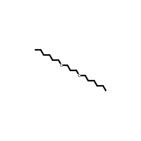 CCCCCCOC[CH]COCCCCCC